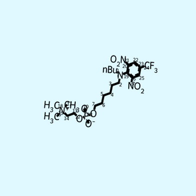 CCCCN(CCCCCCOP(=O)([O-])OCC[N+](C)(C)C)c1c([N+](=O)[O-])cc(C(F)(F)F)cc1[N+](=O)[O-]